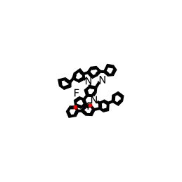 N#Cc1cc(-n2c3cc(-c4ccccc4)ccc3c3ccc(-c4ccccc4)cc32)c(-c2c(F)cccc2F)cc1-n1c2cc(-c3ccccc3)ccc2c2ccc(-c3ccccc3)cc21